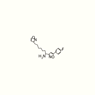 N[C@@H](CCCCCCc1ccon1)c1cc(-c2ccc(F)cc2)on1